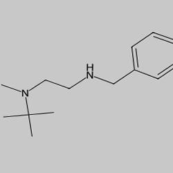 CN(CCNCc1ccccc1)C(C)(C)C